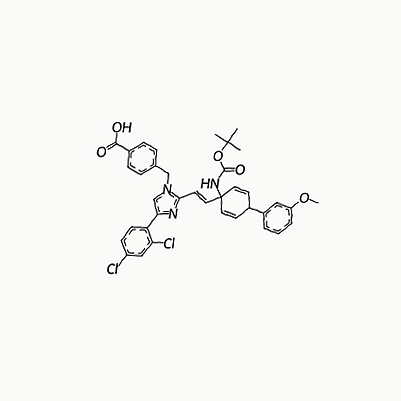 COc1cccc(C2C=CC(/C=C/c3nc(-c4ccc(Cl)cc4Cl)cn3Cc3ccc(C(=O)O)cc3)(NC(=O)OC(C)(C)C)C=C2)c1